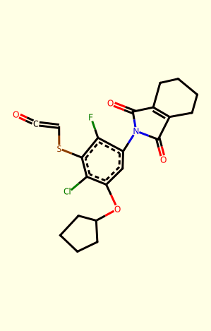 O=C=CSc1c(F)c(N2C(=O)C3=C(CCCC3)C2=O)cc(OC2CCCC2)c1Cl